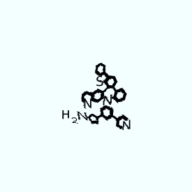 N[C@@H]1C=CC(c2cc(-c3ccncc3)cc(N3c4ccccc4-c4ccc5c(sc6ccccc65)c4-c4cc5cccnc5cc43)c2)=C1